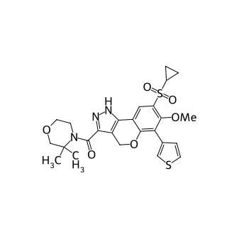 COc1c(S(=O)(=O)C2CC2)cc2c(c1-c1ccsc1)OCc1c(C(=O)N3CCOCC3(C)C)n[nH]c1-2